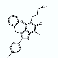 Cn1c(=O)n(CCCO)c(=O)c2c1nc(-c1ccc(F)cc1)n2Cc1ccccc1